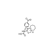 O=C(O)NC1=N[C@@]2(c3cc([N+](=O)[O-])ccc3F)CCCCC[C@H]2CS1